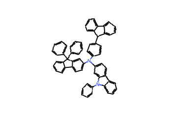 c1ccc(-n2c3ccccc3c3ccc(N(c4ccc(C5c6ccccc6-c6ccccc65)cc4)c4ccc5c(c4)C(c4ccccc4)(c4ccccc4)c4ccccc4-5)cc32)cc1